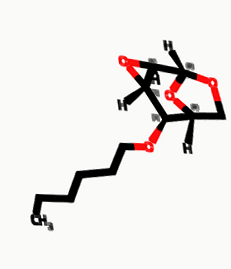 CCCCCCO[C@H]1[C@@H]2O[C@@H]2[C@@H]2OC[C@H]1O2